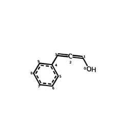 OC=C=Cc1ccccc1